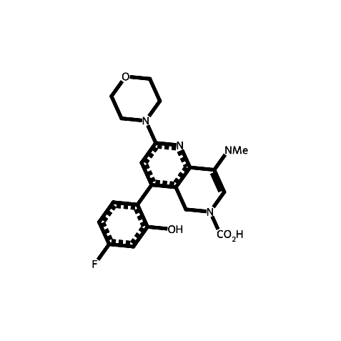 CNC1=CN(C(=O)O)Cc2c(-c3ccc(F)cc3O)cc(N3CCOCC3)nc21